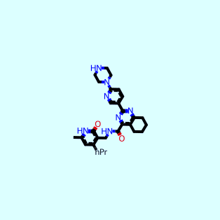 CCCc1cc(C)[nH]c(=O)c1CNC(=O)c1nc(-c2ccc(N3CCNCC3)nc2)nc2c1CCCC2